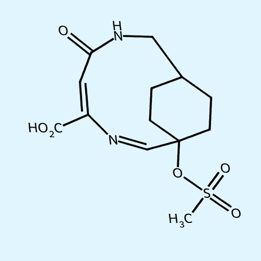 CS(=O)(=O)OC12C=NC(C(=O)O)=CC(=O)NCC(CC1)CC2